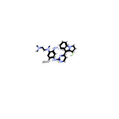 COc1cc(N(C)CCN(C)C)c(N)cc1Nc1nccc(-c2c3n(c4ccccc24)CCC3F)n1